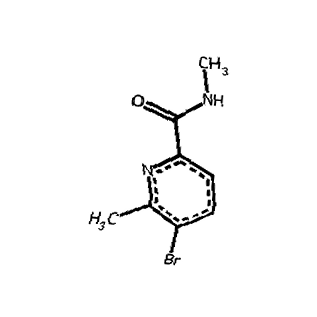 CNC(=O)c1ccc(Br)c(C)n1